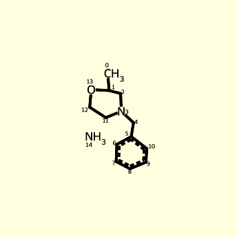 CC1CN(Cc2ccccc2)CCO1.N